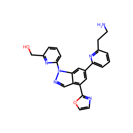 NCCc1cccc(-c2cc(-c3ncco3)c3cnn(-c4cccc(CO)n4)c3c2)n1